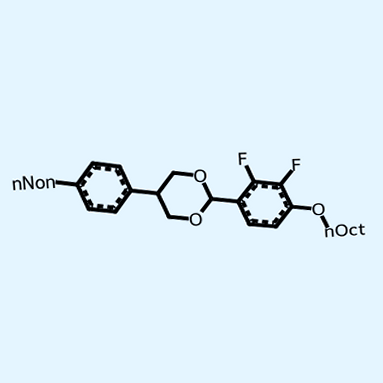 CCCCCCCCCc1ccc(C2COC(c3ccc(OCCCCCCCC)c(F)c3F)OC2)cc1